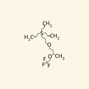 C=CCS(CC=C)(CC=C)CCCOCCC(C)OCC(F)(F)F